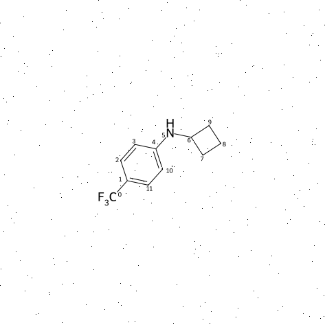 FC(F)(F)c1ccc(NC2CCC2)cc1